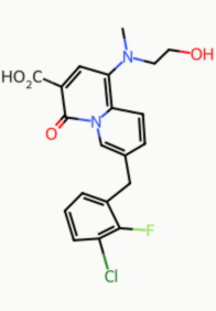 CN(CCO)c1cc(C(=O)O)c(=O)n2cc(Cc3cccc(Cl)c3F)ccc12